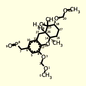 COCOc1cc(CP=O)cc2c1O[C@]1(C)CC[C@@H](OCOC)C(C)(C)[C@H]1C2